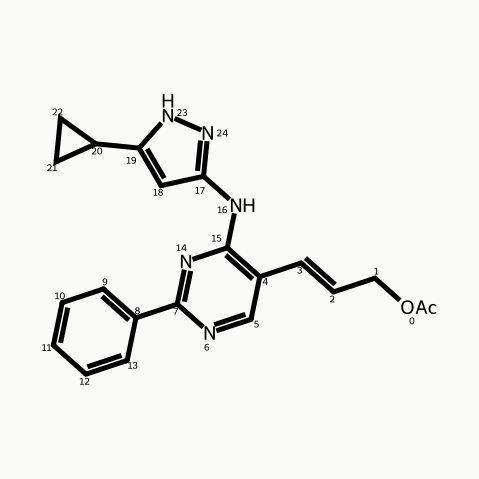 CC(=O)OCC=Cc1cnc(-c2ccccc2)nc1Nc1cc(C2CC2)[nH]n1